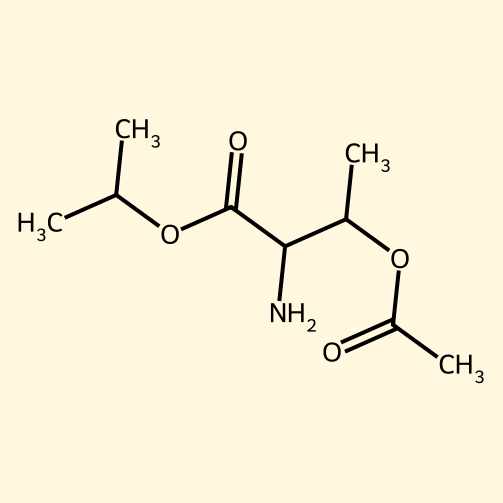 CC(=O)OC(C)C(N)C(=O)OC(C)C